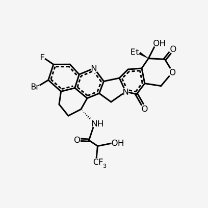 CC[C@@]1(O)C(=O)OCc2c1cc1n(c2=O)Cc2c-1nc1cc(F)c(Br)c3c1c2[C@H](NC(=O)C(O)C(F)(F)F)CC3